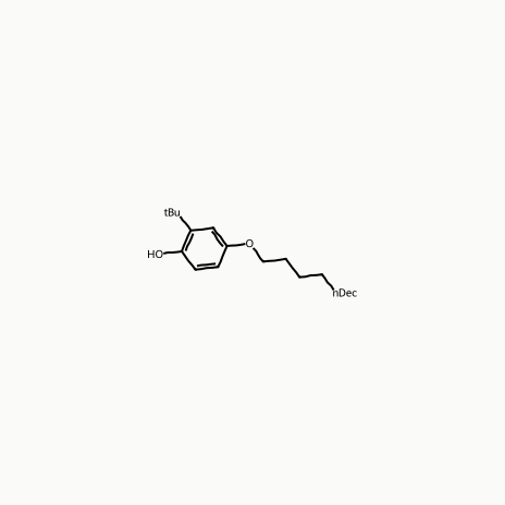 CCCCCCCCCCCCCCOc1ccc(O)c(C(C)(C)C)c1